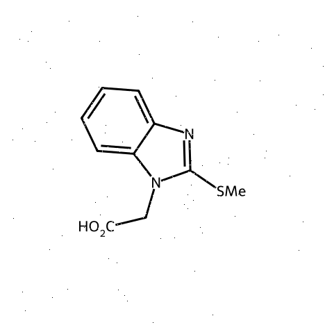 CSc1nc2ccccc2n1CC(=O)O